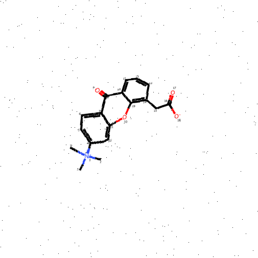 C[N+](C)(C)c1ccc2c(=O)c3cccc(CC(=O)[O-])c3oc2c1